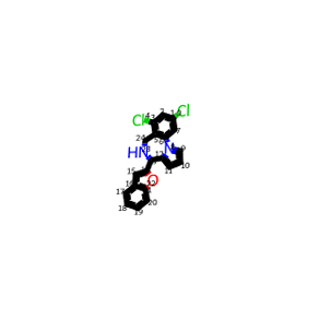 Clc1cc(Cl)c2c(c1)-n1cccc1C(c1cc3ccccc3o1)NC2